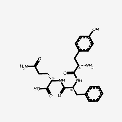 NC(=O)CC[C@H](NC(=O)[C@H](Cc1ccccc1)NC(=O)[C@@H](N)Cc1ccc(O)cc1)C(=O)O